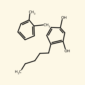 CCCCCc1ccc(O)cc1O.Cc1ccccc1C